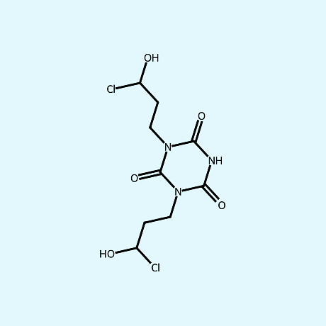 O=c1[nH]c(=O)n(CCC(O)Cl)c(=O)n1CCC(O)Cl